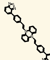 C(=C\N1c2ccccc2N(/C=C/c2ccc(-c3cccc4nsnc34)cc2)c2ccccc21)/c1ccc(-c2cccc3nsnc23)cc1